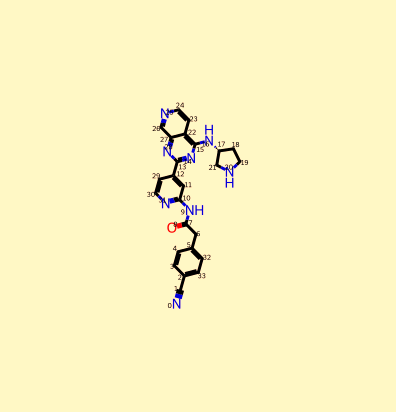 N#Cc1ccc(CC(=O)Nc2cc(-c3nc(N[C@@H]4CCNC4)c4ccncc4n3)ccn2)cc1